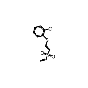 C=CS(=O)(=O)C=CSc1ccccc1Cl